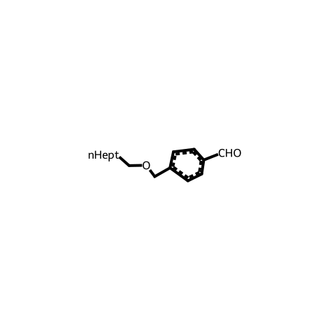 CCCCCCCCOCc1ccc(C=O)cc1